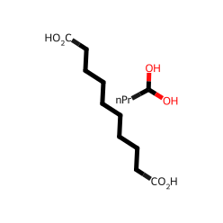 CCCC(O)O.O=C(O)CCCCCCCCC(=O)O